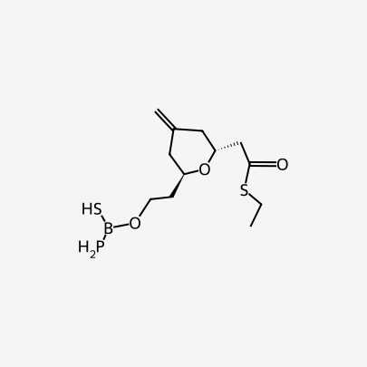 C=C1C[C@H](CC(=O)SCC)O[C@@H](CCOB(P)S)C1